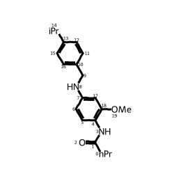 CCCC(=O)Nc1ccc(NCc2ccc(C(C)C)cc2)cc1OC